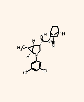 C[C@H]1[C@@H]2[C@H]1N(c1cc(Cl)cc(Cl)c1)C[C@H]2C(=O)N[C@@H]1C[C@@H]2CC[C@H]1N2C#N